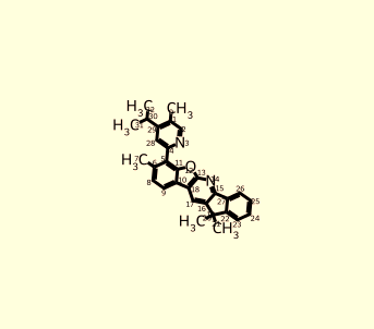 Cc1cnc(-c2c(C)ccc3c2oc2nc4c(cc23)C(C)(C)c2ccccc2-4)cc1C(C)C